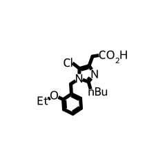 CCCCc1nc(CC(=O)O)c(Cl)n1Cc1ccccc1OCC